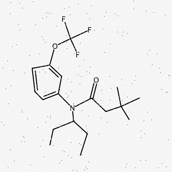 CCC(CC)N(C(=O)CC(C)(C)C)c1cccc(OC(F)(F)F)c1